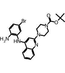 CC(C)(C)OC(=O)N1CCN(c2cc(Nc3cc(Br)ccc3N)c3ccccc3n2)CC1